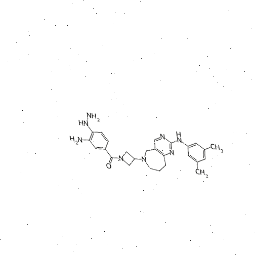 Cc1cc(C)cc(Nc2ncc3c(n2)CCCN(C2CN(C(=O)c4ccc(NN)c(N)c4)C2)C3)c1